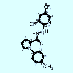 Cc1ccc(-n2cccc2C(=O)NNc2ncc(C(F)(F)F)cc2Cl)cc1